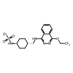 CCS(=O)(=O)N[C@H]1CC[C@H](CNc2nnc(OCC(F)(F)F)c3ccccc23)CC1